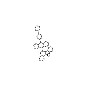 c1ccc(-c2ccc(-c3c4ccccc4c(-c4cc5ccccc5c5oc6ccccc6c45)c4ccccc34)cc2)cc1